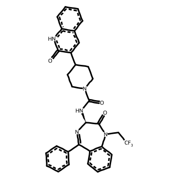 O=C(N[C@@H]1N=C(c2ccccc2)c2ccccc2N(CC(F)(F)F)C1=O)N1CCC(c2cc3ccccc3[nH]c2=O)CC1